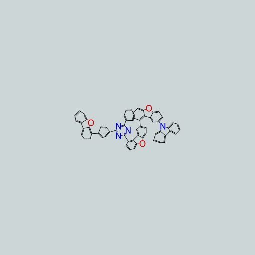 c1ccc(-c2nc(-c3ccc(-c4cccc5c4oc4ccccc45)cc3)nc(-c3cccc4oc5ccc(-c6cccc7oc8ccc(-n9c%10ccccc%10c%10ccccc%109)cc8c67)cc5c34)n2)cc1